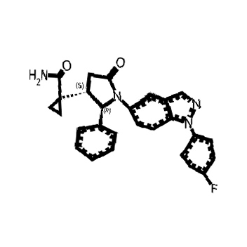 NC(=O)C1([C@@H]2CC(=O)N(c3ccc4c(cnn4-c4ccc(F)cc4)c3)[C@H]2c2ccccc2)CC1